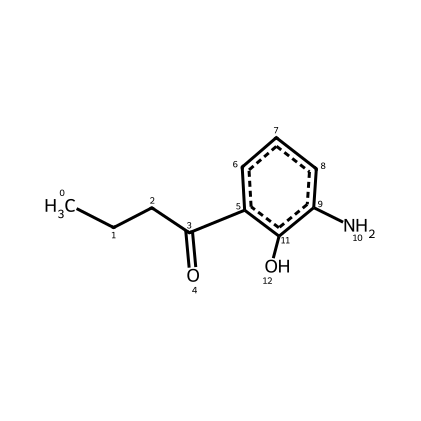 CCCC(=O)c1cccc(N)c1O